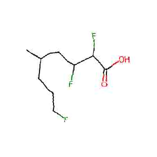 CC(CCCF)CC(F)C(F)C(=O)O